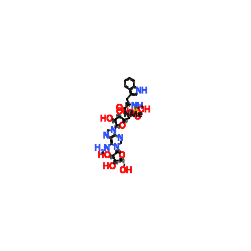 CNC(=O)[C@@H](Cc1c[nH]c2ccccc12)NP(=O)(O)OC[C@H]1O[C@@H](n2cnc3c2=NCN([C@@H]2O[C@H](CO)[C@@H](O)[C@@H]2O)C=3N)[C@H](O)[C@@H]1O